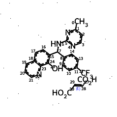 Cc1ccnc(NC(c2ccc(C(F)(F)F)cc2)c2ccc3cccnc3c2O)n1.O=C(O)/C=C/C(=O)O